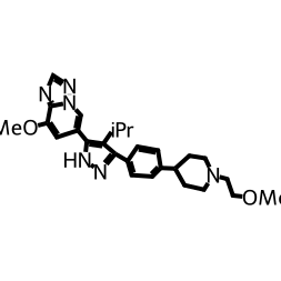 COCCN1CCC(c2ccc(-c3n[nH]c(-c4cc(OC)c5ncnn5c4)c3C(C)C)cc2)CC1